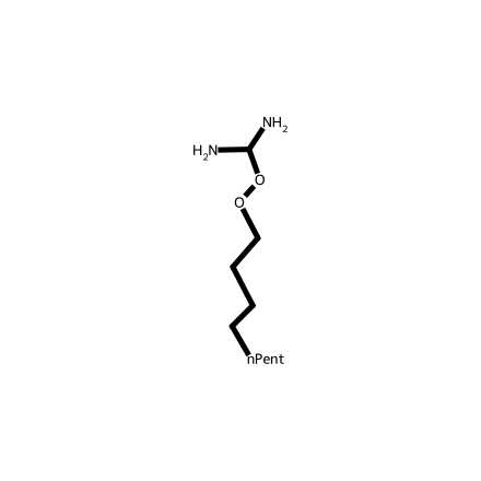 CCCCCCCCCOOC(N)N